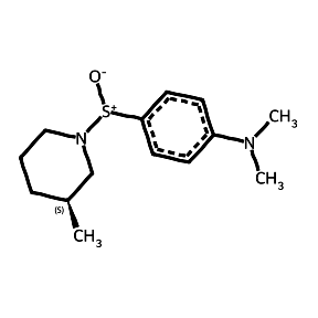 C[C@H]1CCCN([S+]([O-])c2ccc(N(C)C)cc2)C1